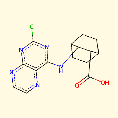 O=C(O)C1C2CCC(CC2)C1Nc1nc(Cl)nc2nccnc12